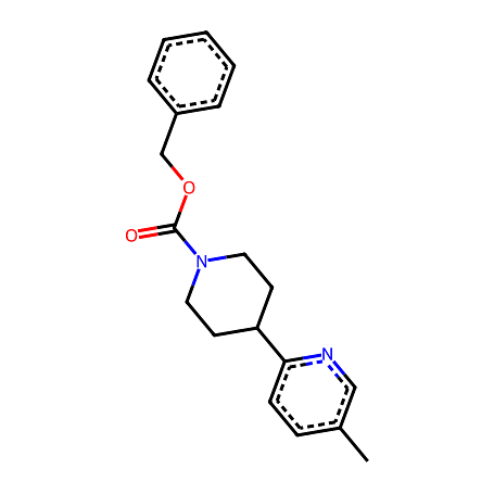 Cc1ccc(C2CCN(C(=O)OCc3ccccc3)CC2)nc1